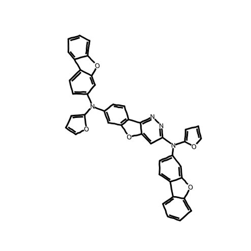 c1coc(N(c2ccc3c(c2)oc2ccccc23)c2ccc3c(c2)oc2cc(N(c4ccc5c(c4)oc4ccccc45)c4ccco4)nnc23)c1